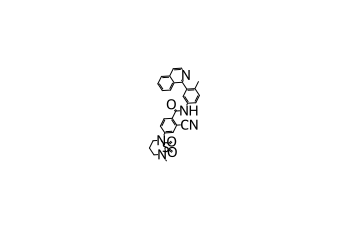 Cc1ccc(NC(=O)c2ccc(N3CCCN(C)S3(=O)=O)cc2C#N)cc1-c1nccc2ccccc12